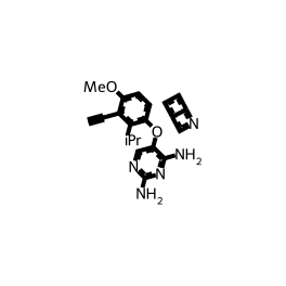 C#Cc1c(OC)ccc(Oc2cnc(N)nc2N)c1C(C)C.c1cc2ncc1-2